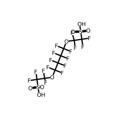 O=S(=O)(O)C(F)(F)C(F)(F)OC(F)(F)C(F)(F)C(F)(F)C(F)(F)OC(F)(F)C(F)(F)S(=O)(=O)O